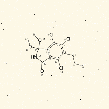 CCSc1c(Cl)c(Cl)c2c(c1Cl)C(=O)NC2(OC)OC